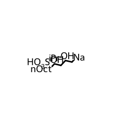 CC(C)O.CCCCCCCCCCC[CH2][Na].O=S(=O)(O)O